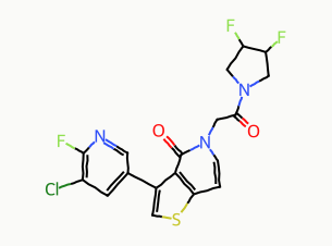 O=C(Cn1ccc2scc(-c3cnc(F)c(Cl)c3)c2c1=O)N1CC(F)C(F)C1